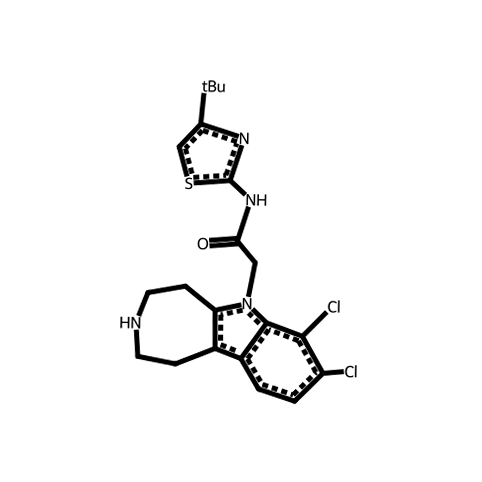 CC(C)(C)c1csc(NC(=O)Cn2c3c(c4ccc(Cl)c(Cl)c42)CCNCC3)n1